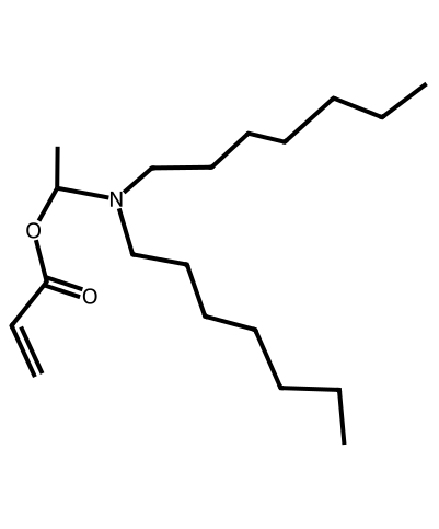 C=CC(=O)OC(C)N(CCCCCCC)CCCCCCC